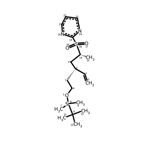 C=C[C@H](CCO[Si](C)(C)C(C)(C)C)C[C@@H](C)S(=O)(=O)c1ncccn1